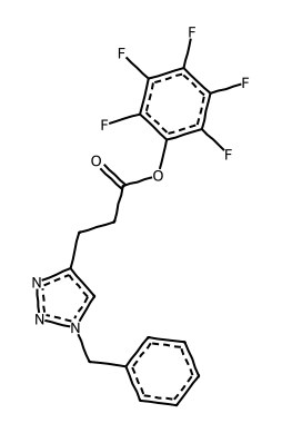 O=C(CCc1cn(Cc2ccccc2)nn1)Oc1c(F)c(F)c(F)c(F)c1F